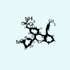 CC#Cc1cccc2c1-c1ccc(CS(N)(=O)=O)cc1C(c1ccc(Br)s1)O2